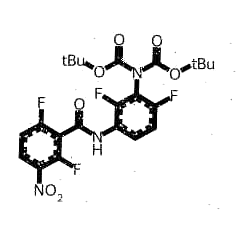 CC(C)(C)OC(=O)N(C(=O)OC(C)(C)C)c1c(F)ccc(NC(=O)c2c(F)ccc([N+](=O)[O-])c2F)c1F